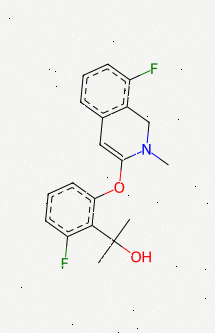 CN1Cc2c(F)cccc2C=C1Oc1cccc(F)c1C(C)(C)O